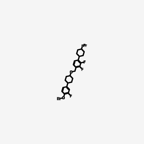 CCCC1CCC(c2ccc(COC3CCC(c4ccc(OCC)c(F)c4)CC3)c(F)c2F)CC1